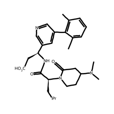 Cc1cccc(C)c1-c1cncc([C@H](CC(=O)O)NC(=O)[C@H](CC(C)C)N2CCC(N(C)C)CC2=O)c1